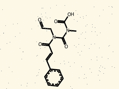 CN(C(=O)O)C(=O)N(C[C]=O)C(=O)C=Cc1ccccc1